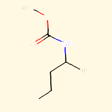 CC(C)(C)OC(=O)NC(CCC(=O)O)C(C)(C)C